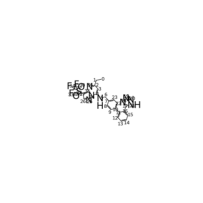 CCc1cc(NCc2ccc(-c3ccccc3-c3nnn[nH]3)cc2)n2ncc(S(=O)(=O)C(F)(F)F)c2n1